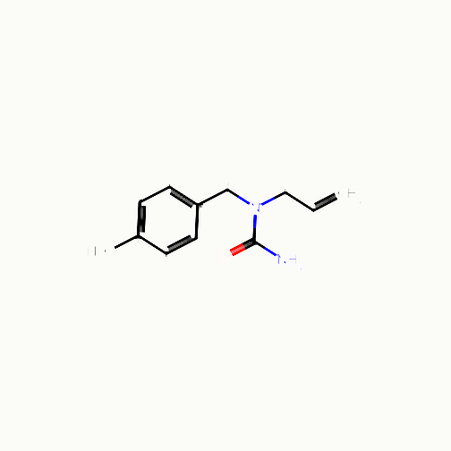 C=CCN(Cc1ccc(C)cc1)C(N)=O